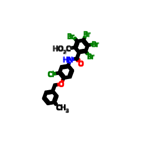 Cc1cccc(COc2ccc(NC(=O)c3c(Br)c(Br)c(Br)c(Br)c3C(=O)O)cc2Cl)c1